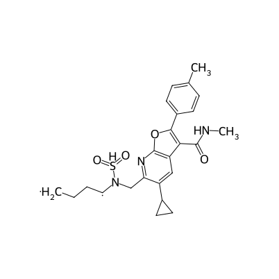 [CH2]CC[CH]N(Cc1nc2oc(-c3ccc(C)cc3)c(C(=O)NC)c2cc1C1CC1)[SH](=O)=O